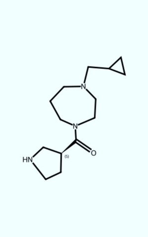 O=C([C@H]1CCNC1)N1CCCN(CC2CC2)CC1